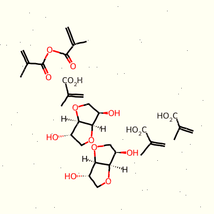 C=C(C)C(=O)O.C=C(C)C(=O)O.C=C(C)C(=O)O.C=C(C)C(=O)OC(=O)C(=C)C.O[C@@H]1CO[C@H]2[C@@H]1OC[C@@H]2O.O[C@@H]1CO[C@H]2[C@@H]1OC[C@@H]2O